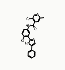 Cc1cc(C(=O)Nc2ccc(Cl)c(-c3ncc(-c4ccccc4)[nH]3)c2)c(Cl)cn1